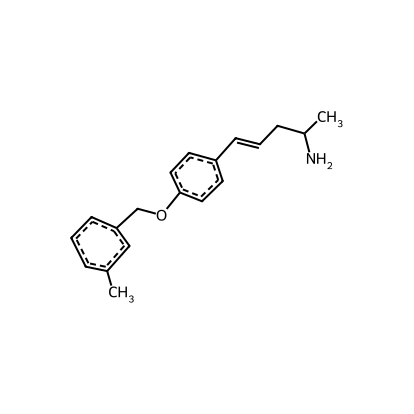 Cc1cccc(COc2ccc(C=CCC(C)N)cc2)c1